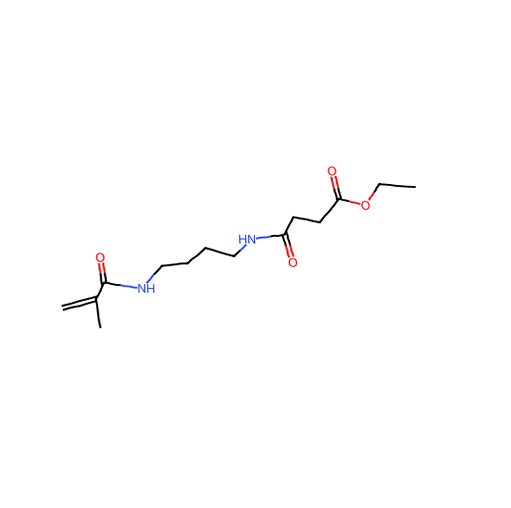 C=C(C)C(=O)NCCCCNC(=O)CCC(=O)OCC